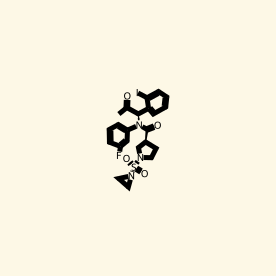 CC(=O)[C@H](c1ccccc1I)N(C(=O)[C@H]1CCN(S(=O)(=O)N2CC2)C1)c1cccc(F)c1